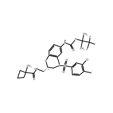 CC1(C(=O)NC[C@H]2CN(S(=O)(=O)c3ccc(F)c(Cl)c3)c3cc(NC(=O)OC(C)(C)C(F)(F)F)ccc3O2)CCC1